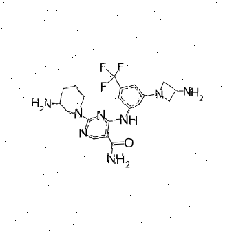 NC(=O)c1cnc(N2CCC[C@H](N)C2)nc1Nc1cc(N2CC(N)C2)cc(C(F)(F)F)c1